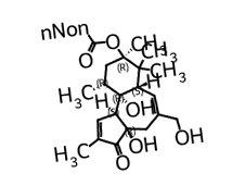 CCCCCCCCCC(=O)O[C@]1(C)C[C@@H](C)[C@@]2(O)[C@@H](C=C(CO)C[C@]3(O)C(=O)C(C)=C[C@@H]23)C1(C)C